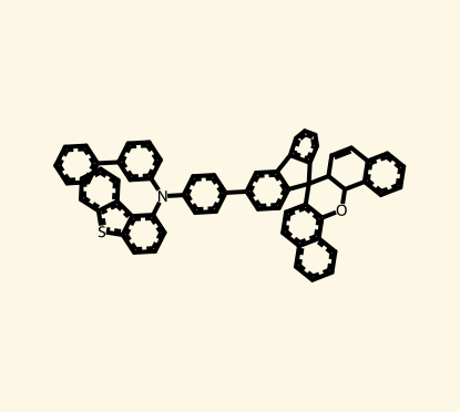 C1=CC2C(Oc3c(ccc4ccccc34)C23c2ccccc2-c2cc(-c4ccc(N(c5cccc(-c6ccccc6)c5)c5cccc6sc7ccccc7c56)cc4)ccc23)c2ccccc21